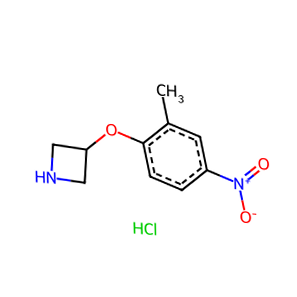 Cc1cc([N+](=O)[O-])ccc1OC1CNC1.Cl